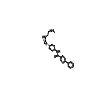 NCCN[C@@H]1C[C@H]1c1ccc(NC(=O)c2ccc(-c3ccccc3)cc2)cc1